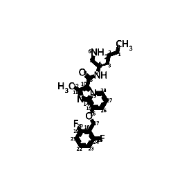 CCCC[C@H](CN)NC(=O)c1c(C)nc2c(OCc3c(F)cccc3F)cccn12